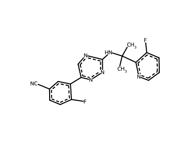 CC(C)(Nc1ncc(-c2cc(C#N)ccc2F)nn1)c1ncccc1F